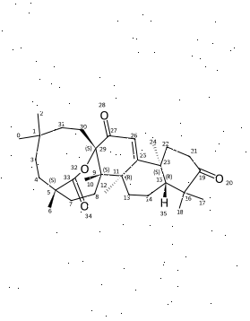 CC1(C)CC[C@@]2(C)CC[C@@]3(C)[C@]4(C)CC[C@H]5C(C)(C)C(=O)CC[C@]5(C)C4=CC(=O)[C@@]3(CC1)OC2=O